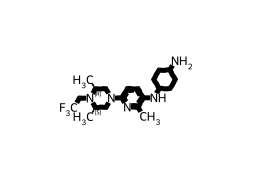 Cc1nc(N2C[C@@H](C)N(CC(F)(F)F)[C@@H](C)C2)ccc1NC1CCC(N)CC1